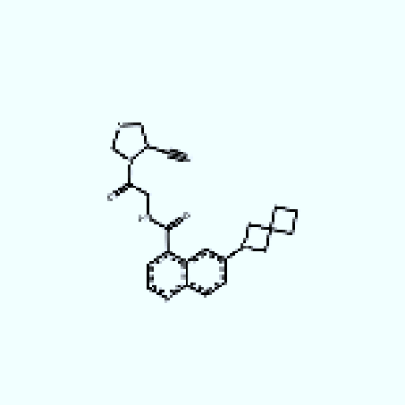 N#CC1CSCN1C(=O)CNC(=O)c1ccnc2ccc(N3CC4(CCC4)C3)cc12